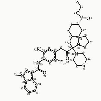 CCOC(=O)[C@H]1CC[C@H](OC(C(=O)Cc2cc(Cl)c(NC(=O)c3cn(C)c4ccccc34)cc2F)(N2CCCC2)N2CCSCC2)CC1